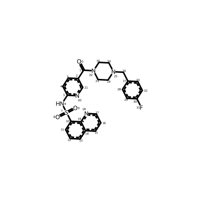 O=C(c1ccc(NS(=O)(=O)c2cccc3cccnc23)nc1)N1CCN(Cc2ccc(F)cc2)CC1